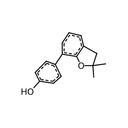 CC1(C)Cc2cccc(-c3ccc(O)cc3)c2O1